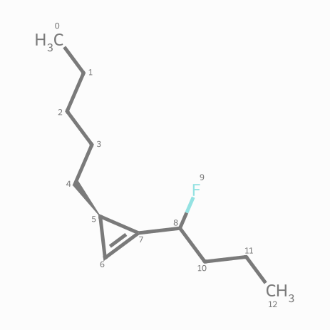 CCCCC[C@@H]1C=C1C(F)CCC